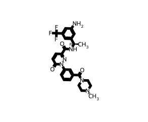 C[C@@H](NC(=O)c1ccc(=O)n(-c2cccc(C(=O)N3CCN(C)CC3)c2)n1)c1cc(N)cc(C(F)(F)F)c1